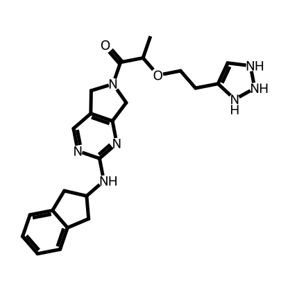 CC(OCCC1=CNNN1)C(=O)N1Cc2cnc(NC3Cc4ccccc4C3)nc2C1